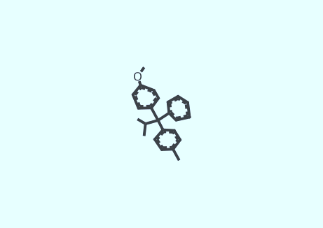 COc1ccc(C(c2ccccc2)(c2ccc(C)cc2)C(C)C)cc1